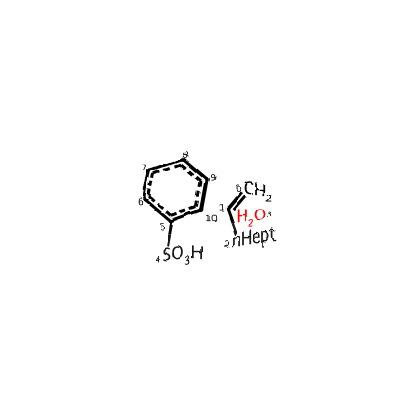 C=CCCCCCCC.O.O=S(=O)(O)c1ccccc1